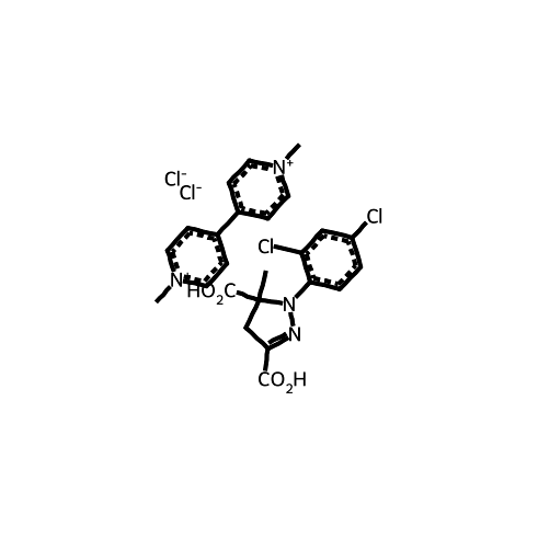 CC1(C(=O)O)CC(C(=O)O)=NN1c1ccc(Cl)cc1Cl.C[n+]1ccc(-c2cc[n+](C)cc2)cc1.[Cl-].[Cl-]